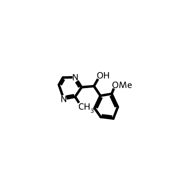 COc1ccccc1C(O)c1nccnc1C